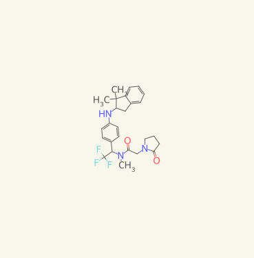 CN(C(=O)CN1CCCC1=O)C(c1ccc(NC2Cc3ccccc3C2(C)C)cc1)C(F)(F)F